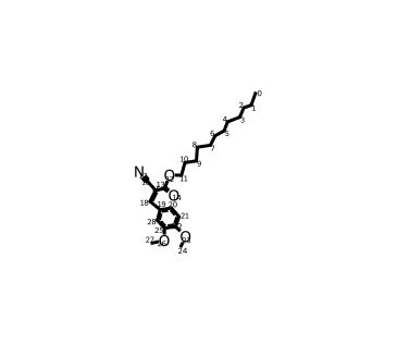 CCCCCCCCCCCCOC(=O)C(C#N)=Cc1ccc(OC)c(OC)c1